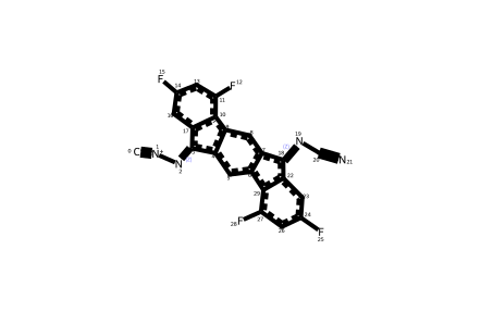 [C-]#[N+]/N=c1/c2cc3c(cc2c2c(F)cc(F)cc12)/c(=N/C#N)c1cc(F)cc(F)c13